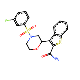 NC(=O)c1sc2ccccc2c1C1CN(S(=O)(=O)c2cccc(F)c2)CCO1